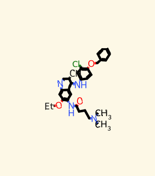 CCOc1cc2c(cc1NC(=O)CCCN(C)C)C(Nc1ccc(OCc3ccccc3)c(Cl)c1)C(C#N)C=N2